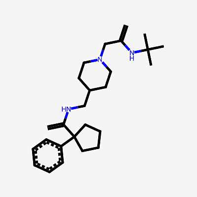 C=C(CN1CCC(CNC(=C)C2(c3ccccc3)CCCC2)CC1)NC(C)(C)C